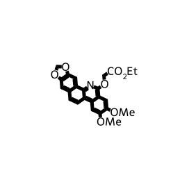 CCOC(=O)COc1nc2c3cc4c(cc3ccc2c2cc(OC)c(OC)cc12)OCO4